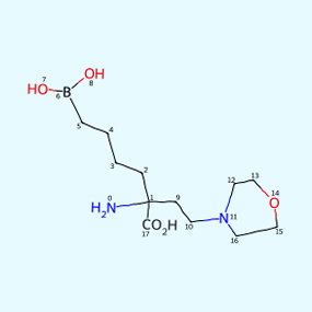 NC(CCCCB(O)O)(CCN1CCOCC1)C(=O)O